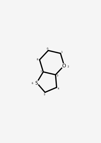 C1COC2CCSC2C1